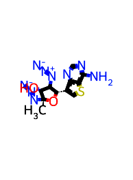 C[C@@]1(N=[N+]=[N-])O[C@@H](c2csc3c(N)ncnc23)C(N=[N+]=[N-])[C@@H]1O